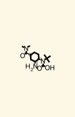 CN(C)C(=O)[C@H]1CC[C@H](N(C(=O)O)C(C)(C)C)[C@H](N)C1